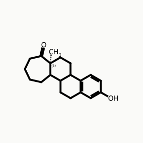 C[C@]12CCC3c4ccc(O)cc4CCC3C1CCCCC2=O